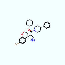 O=C([C@@H]1CNC[C@]12CCOc1cc(Br)ccc12)N1CC[C@@H](c2ccccc2)C[C@H]1C1CCCCC1